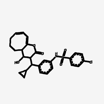 O=C1OC2=CC=CCCCC2C(O)C1C(c1cccc(NS(=O)(=O)c2ccc(Cl)cc2)c1)C1CC1